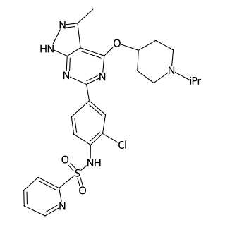 Cc1n[nH]c2nc(-c3ccc(NS(=O)(=O)c4ccccn4)c(Cl)c3)nc(OC3CCN(C(C)C)CC3)c12